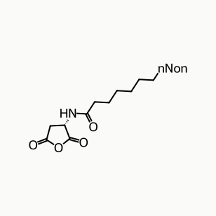 CCCCCCCCCCCCCCCC(=O)N[C@H]1CC(=O)OC1=O